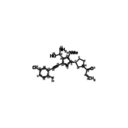 C=CC(=O)N1CC[C@H](n2nc(C#Cc3cc(Cl)ccc3F)c(C(N)O)c2NC)C1